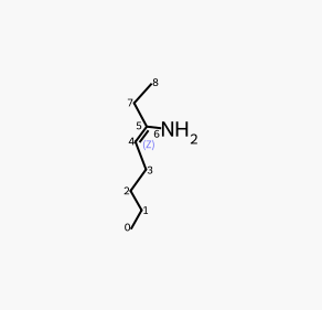 CCCC/C=C(\N)CC